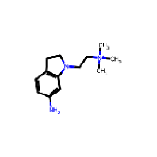 C[N+](C)(C)CCN1CCc2ccc(N)cc21